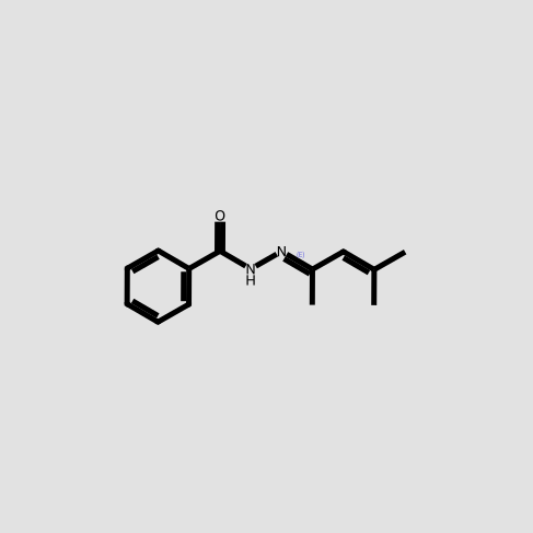 CC(C)=C/C(C)=N/NC(=O)c1ccccc1